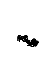 CN(C(=O)c1csc(C2CCN(C(=O)c3ccccc3-c3ccc(C(F)(F)F)cc3)CC2)n1)c1coc2ccccc2c1=O